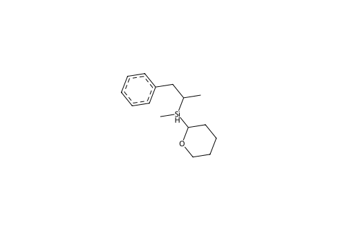 CC(Cc1ccccc1)[SiH](C)C1CCCCO1